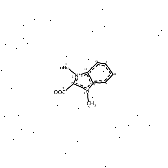 CCCC[n+]1c(C(=O)[O-])n(C)c2ccccc21